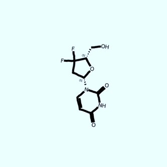 O=c1ccn([C@@H]2CC(F)(F)[C@H](CO)O2)c(=O)[nH]1